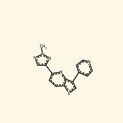 Cn1ncc(-c2ccc3scc(-c4ccncc4)c3n2)n1